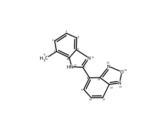 Cc1cccc2nc(-c3cccc4nonc34)[nH]c12